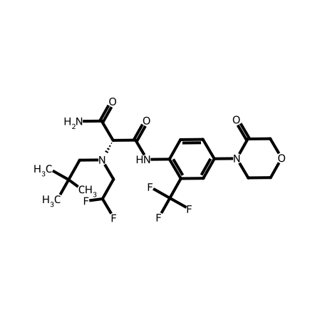 CC(C)(C)CN(CC(F)F)[C@H](C(N)=O)C(=O)Nc1ccc(N2CCOCC2=O)cc1C(F)(F)F